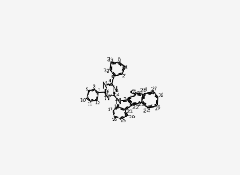 c1ccc(-c2nc(-c3ccccc3)nc(-n3c4ccccc4c4c5ccccc5sc43)n2)cc1